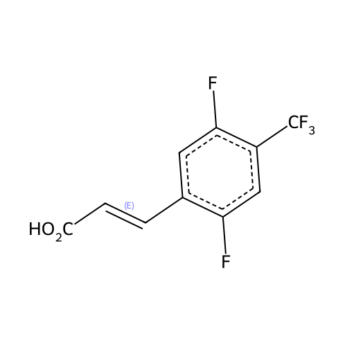 O=C(O)/C=C/c1cc(F)c(C(F)(F)F)cc1F